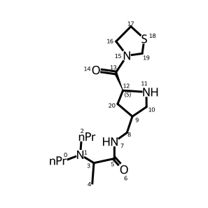 CCCN(CCC)C(C)C(=O)NCC1CN[C@H](C(=O)N2CCSC2)C1